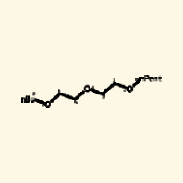 CCCCCOCCOCCOCCCC